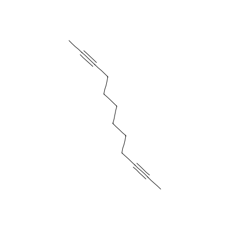 CC#CCCCCCCC#CC